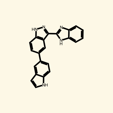 c1ccc2[nH]c(-c3n[nH]c4ccc(-c5ccc6[nH]ccc6c5)cc34)nc2c1